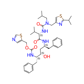 CC(C)CN(Cc1csc(C(C)C)n1)C(=O)N[C@H](C(=O)N[C@@H](Cc1ccccc1)C[C@H](O)[C@H](Cc1ccccc1)NC(=O)OCc1cncs1)C(C)C